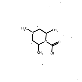 CC1CN(C)CC(C)N1C(=O)O